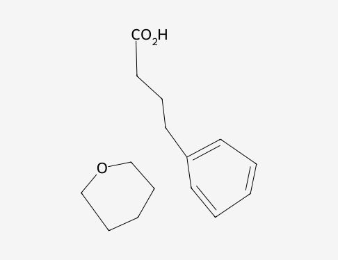 C1CCOCC1.O=C(O)CCCc1ccccc1